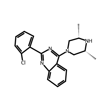 C[C@@H]1CN(c2nc(-c3ccccc3Cl)nc3ccccc23)C[C@H](C)N1